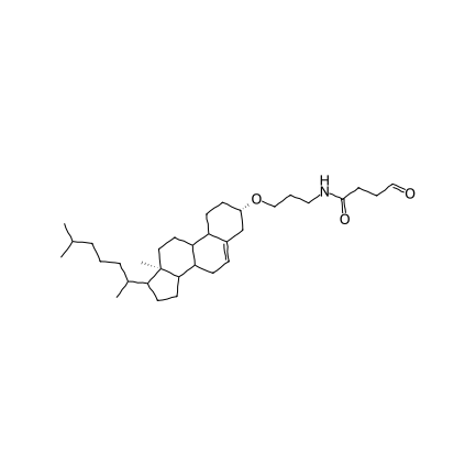 CC(C)CCCC(C)C1CCC2C3CC=C4C[C@@H](OCCCNC(=O)CCC=O)CCC4C3CC[C@]12C